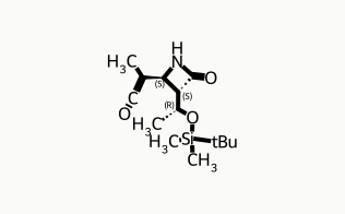 CC(=C=O)[C@H]1NC(=O)[C@@H]1[C@@H](C)O[Si](C)(C)C(C)(C)C